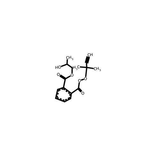 C#CC(C)(C)OOC(=O)c1ccccc1C(=O)OCC(C)O